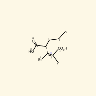 CC/C=C(\C)C(=O)O.CCCCC(=O)O